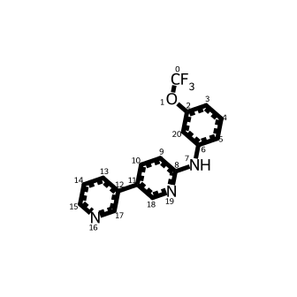 FC(F)(F)Oc1cccc(Nc2ccc(-c3cccnc3)cn2)c1